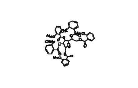 COc1ccccc1C(=O)OCC(OC(=O)c1ccccc1C=O)C1OC(OC(=O)c2ccccc2OC)C(OC(=O)c2ccccc2OC)C1OC(=O)c1ccccc1OC